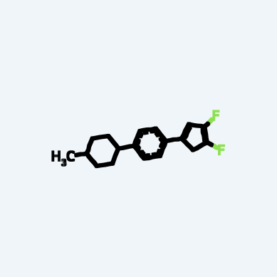 CC1CCC(c2ccc(C3=CC(F)=C(F)C3)cc2)CC1